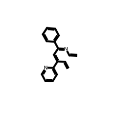 C=C/N=C(\C=C(/C=C)c1ccccn1)c1ccccc1